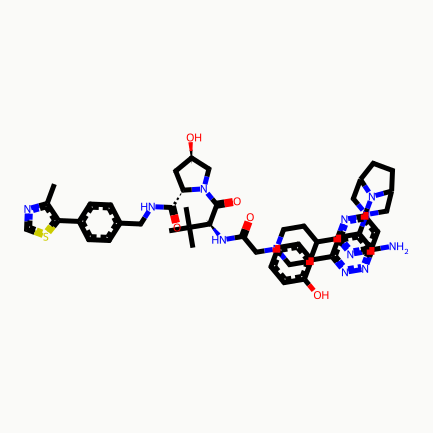 Cc1ncsc1-c1ccc(CNC(=O)[C@@H]2C[C@@H](O)CN2C(=O)[C@@H](NC(=O)CN2CCC(c3nccc(N4C5CCC4CN(c4cc(-c6ccccc6O)nnc4N)C5)n3)CC2)C(C)(C)C)cc1